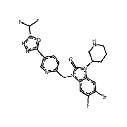 O=c1n(Cc2ccc(-c3nnc(C(F)F)o3)cn2)c2cc(F)c(Br)cc2n1[C@@H]1CCCNC1